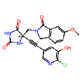 COc1ccc2c(c1)C(=O)N(C[C@@]1(C#Cc3cnc(Cl)c(O)c3)NC(=O)NC1=O)C2